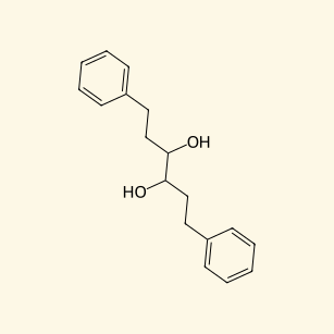 OC(CCc1ccccc1)C(O)CCc1ccccc1